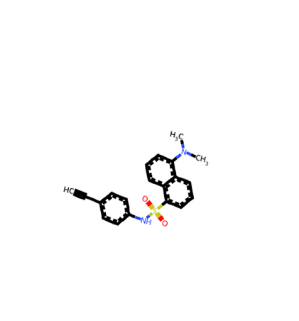 C#Cc1ccc(NS(=O)(=O)c2cccc3c(N(C)C)cccc23)cc1